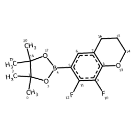 CC1(C)OB(c2cc3c(c(F)c2F)OCCC3)OC1(C)C